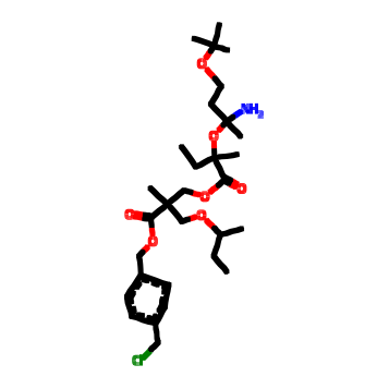 CCC(C)OCC(C)(COC(=O)C(C)(CC)OC(C)(N)CCOC(C)(C)C)C(=O)OCc1ccc(CCl)cc1